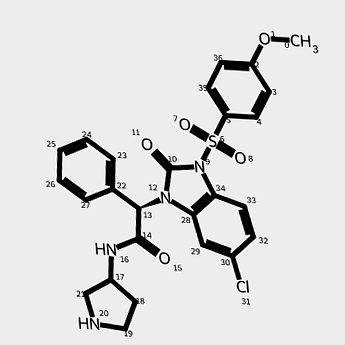 COc1ccc(S(=O)(=O)n2c(=O)n([C@@H](C(=O)NC3CCNC3)c3ccccc3)c3cc(Cl)ccc32)cc1